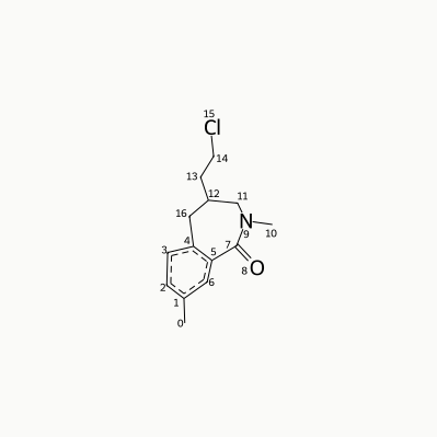 Cc1ccc2c(c1)C(=O)N(C)CC(CCCl)C2